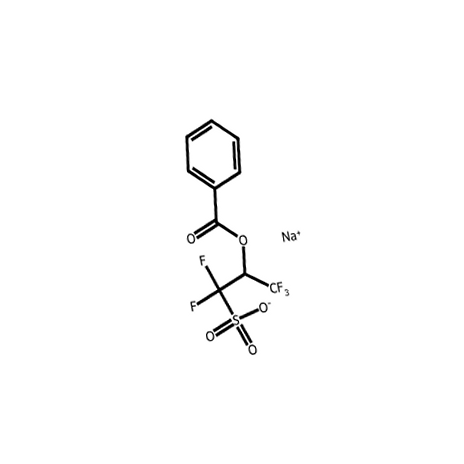 O=C(OC(C(F)(F)F)C(F)(F)S(=O)(=O)[O-])c1ccccc1.[Na+]